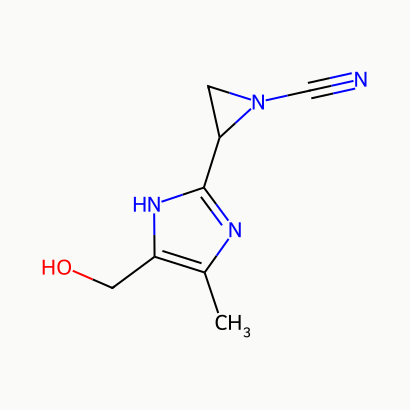 Cc1nc(C2CN2C#N)[nH]c1CO